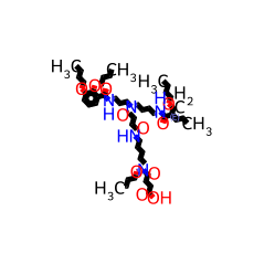 C=C(OCCCC)/C(=C\CC)C(=O)NCCCCN(CCCNC(=O)c1cccc(OCCCC)c1OCCCC)C(=O)CCC(=O)NCCCCCN(OCCCC)C(=O)CCC(=O)O